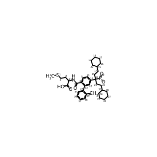 CSCCC(NC(=O)c1ccc(C(CCC2CCCCC2)(CCC2CCCCC2)P(=O)=O)cc1-c1ccccc1C)C(=O)O